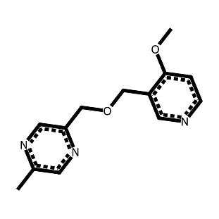 COc1ccncc1COCc1cnc(C)cn1